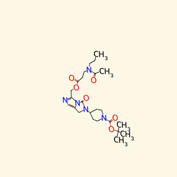 CCCN(CCC(=O)OCc1ncc2n1C(=O)N(C1CCN(C(=O)OC(C)(C)C)CC1)C2)C(C)=O